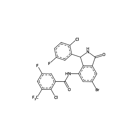 O=C(Nc1cc(Br)cc2c1C(c1cc(F)ccc1Cl)NC2=O)c1cc(F)cc(C(F)(F)F)c1Cl